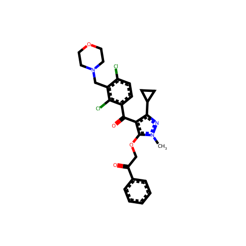 Cn1nc(C2CC2)c(C(=O)c2ccc(Cl)c(CN3CCOCC3)c2Cl)c1OCC(=O)c1ccccc1